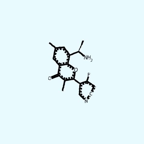 Cc1cc([C@@H](C)N)c2oc(-c3cnccc3F)c(C)c(=O)c2c1